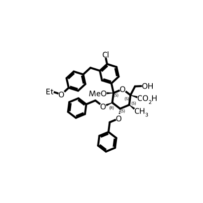 CCOc1ccc(Cc2cc([C@]3(OC)O[C@@](CO)(C(=O)O)[C@@H](C)[C@H](OCc4ccccc4)[C@H]3OCc3ccccc3)ccc2Cl)cc1